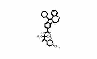 CN1CCN(C(=O)C(C)(C)NC(=O)c2ccc3c(C4CCCCC4)c4n(c3c2)CCOc2ccccc2-4)CC1